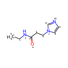 CCNC(=O)CCn1c[c]nc1